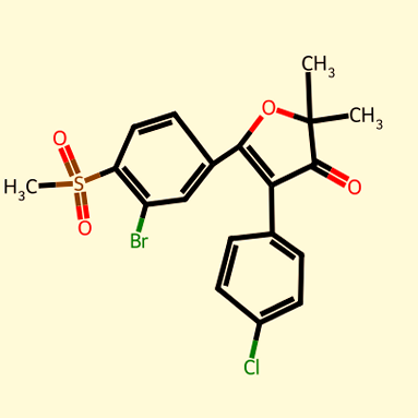 CC1(C)OC(c2ccc(S(C)(=O)=O)c(Br)c2)=C(c2ccc(Cl)cc2)C1=O